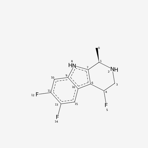 C[C@H]1NCC(F)c2c1[nH]c1cc(F)c(F)cc21